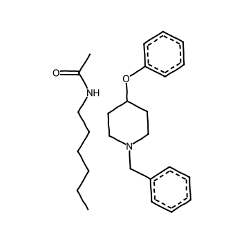 CCCCCCNC(C)=O.c1ccc(CN2CCC(Oc3ccccc3)CC2)cc1